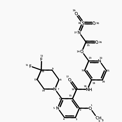 COc1ccnc(N2CCC(F)(F)CC2)c1C(=O)Nc1ccnc(OC(=O)N=S(=O)=O)c1